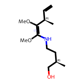 C=C[C@@H](C)/C(OC)=C(\NCC[C@@H](C)CO)OC